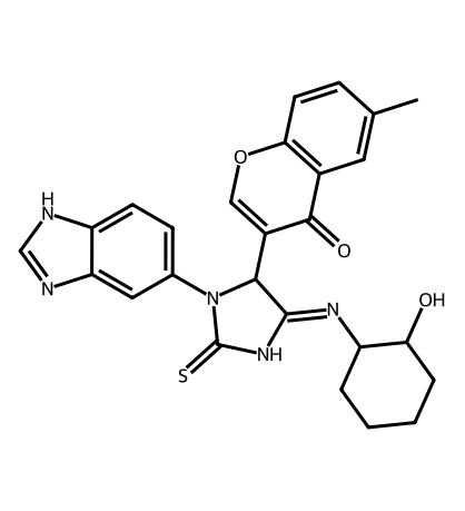 Cc1ccc2occ(C3C(=NC4CCCCC4O)NC(=S)N3c3ccc4[nH]cnc4c3)c(=O)c2c1